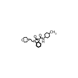 CC1CCC(NC(=O)n2c(=O)n(CCN3CCOCC3)c3ccccc32)CC1